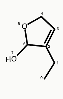 CCC1=CCOC1O